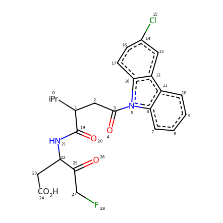 CC(C)C(CC(=O)n1c2ccccc2c2cc(Cl)ccc21)C(=O)NC(CC(=O)O)C(=O)CF